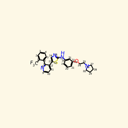 FC(F)(F)c1ccccc1-c1ncccc1-c1cnc(Nc2cccc(OCCN3CCCC3)c2)s1